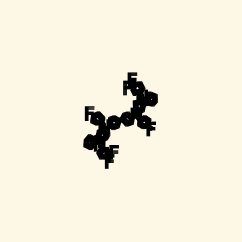 Fc1ccc(N(c2ccc(-c3ccc(N(c4ccc(F)cc4)c4ccc5c(c4)c4ccccc4n5-c4ccc(F)c(F)c4)cc3)cc2)c2ccc3c(c2)c2ccccc2n3-c2ccc(F)c(F)c2)cc1